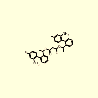 CC(OC(=O)CC(=O)OC(C)c1ccccc1-c1ccc(F)cc1N)c1ccccc1-c1ccc(F)cc1N